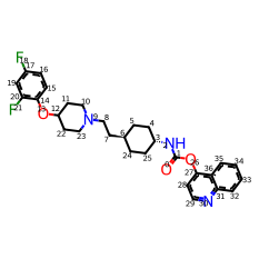 O=C(N[C@H]1CC[C@H](CCN2CCC(Oc3ccc(F)cc3F)CC2)CC1)Oc1ccnc2ccccc12